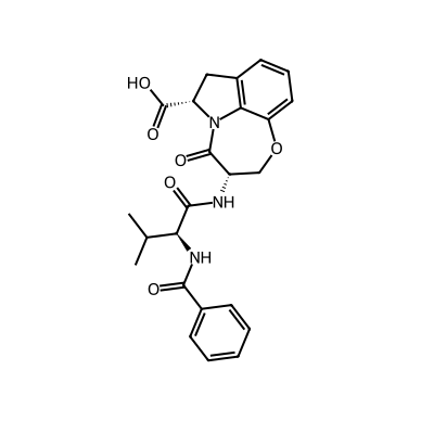 CC(C)[C@H](NC(=O)c1ccccc1)C(=O)N[C@H]1COc2cccc3c2N(C1=O)[C@H](C(=O)O)C3